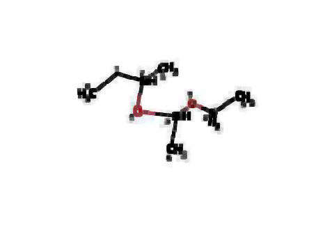 CC[SiH](C)O[SiH](C)O[SiH2]C